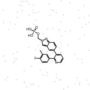 Cc1cc(-c2ncccc2-c2ccc3nn(COP(=O)(O)O)cc3c2)ccc1F